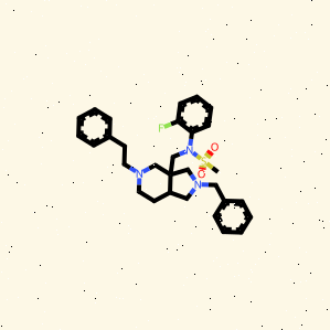 CS(=O)(=O)N(CC12CN(CCc3ccccc3)CCC1CN(Cc1ccccc1)C2)c1ccccc1F